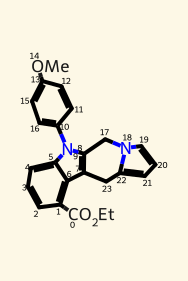 CCOC(=O)c1cccc2c1c1c(n2-c2ccc(OC)cc2)Cn2cccc2C1